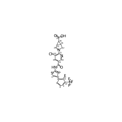 O=C(Nc1nc(-c2cccc(C(F)(F)F)c2F)cs1)c1cnc(N2CC3C(C2)C3C(=O)O)c(Cl)c1